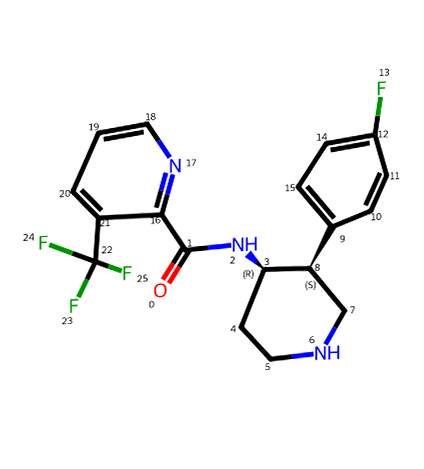 O=C(N[C@@H]1CCNC[C@@H]1c1ccc(F)cc1)c1ncccc1C(F)(F)F